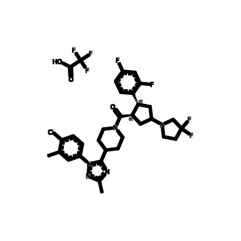 Cc1nc(C2CCN(C(=O)[C@@H]3CC(N4CCC(F)(F)C4)C[C@H]3c3ccc(F)cc3F)CC2)n(-c2ccc(Cl)c(C)c2)n1.O=C(O)C(F)(F)F